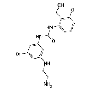 NCCNc1cc(Br)cc(NC(=O)Nc2cccc(Cl)c2CO)c1